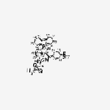 CC(C)n1c(NCS(C)(=O)=O)nc(-c2ccc(F)cc2)c1C[P+](c1ccccc1)(c1ccccc1)c1ccccc1.[Br-]